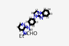 CCN(C=O)c1cccnc1N(C)c1ccc(N2CCn3c2nc2ccccc23)cc1